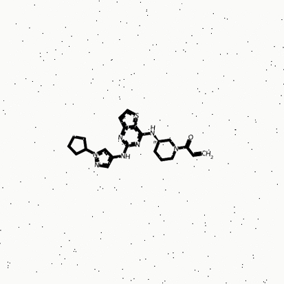 C=CC(=O)N1CCC[C@@H](Nc2nc(Nc3cnn(C4CCCC4)c3)nc3ccsc23)C1